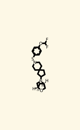 FC(F)Oc1ccc(SN2CCC3(CCC(N4C[C@@H]5C[C@@H]4CO5)C3)CC2)cc1